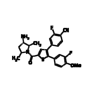 COc1ccc(-c2sc(C(=O)N3C(C)CC(N)C3C)cc2-c2ccc(C#N)c(F)c2)cc1F